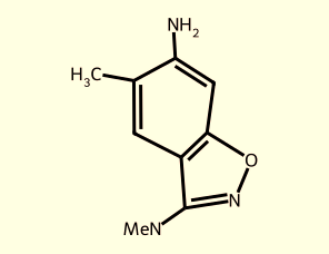 CNc1noc2cc(N)c(C)cc12